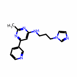 Cc1nc(NCCCn2ccnc2)cc(-c2cccnc2)n1